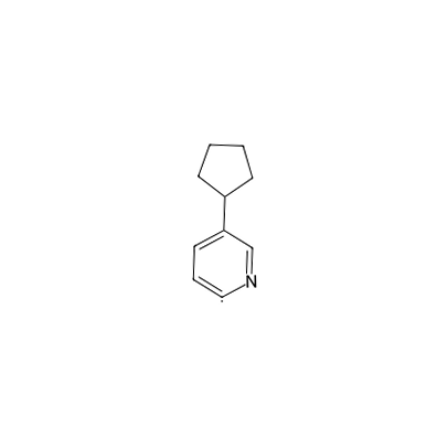 [c]1ccc(C2CCCC2)cn1